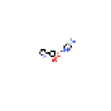 COc1cc(-c2ccc[c]n2)ccc1OCCN1CCC(N(C)C)CC1